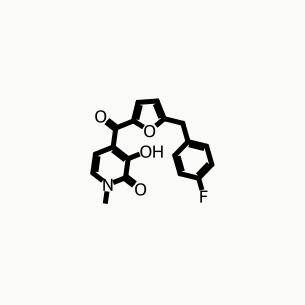 Cn1ccc(C(=O)c2ccc(Cc3ccc(F)cc3)o2)c(O)c1=O